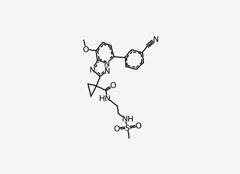 COc1ccc(-c2cccc(C#N)c2)n2nc(C3(C(=O)NCCNS(C)(=O)=O)CC3)nc12